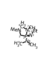 CCN=P(CNC)(N(C)C)N(C)C